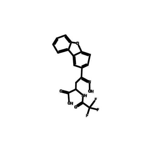 O=C(O)C(CC(=NO)c1ccc2oc3ccccc3c2c1)NC(=O)C(F)(F)F